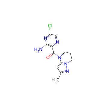 Cc1cc2n(n1)CCCN2C(=O)c1ncc(Cl)nc1N